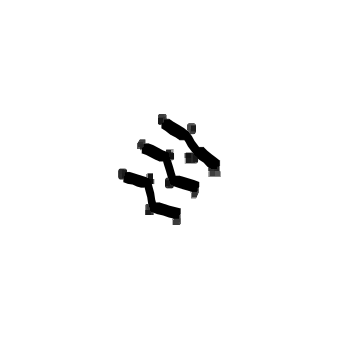 C=CC=C.C=CC=C.C=CC=C